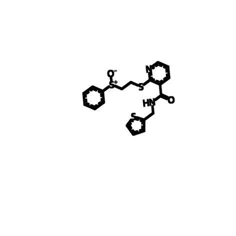 O=C(NCc1cccs1)c1cccnc1SCC[S+]([O-])c1ccccc1